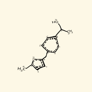 Cc1ccc(-c2ccc(C(C)O)cc2)o1